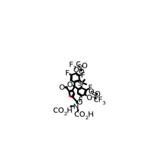 C[Si]1(C)c2c(cc(F)c(OS(=O)(=O)C(F)(F)F)c2F)C2(OC(=O)c3ccc(C(=O)N(CC(=O)O)CC(=O)O)cc32)c2cc(F)c(OS(=O)(=O)C(F)(F)F)c(F)c21